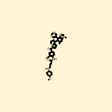 CO[C@H]1CC[C@H](NC/C=C/C(=O)Nc2ccc(C(=O)c3ccc4c(-c5c(C)cc6c(ncn6C)c5-c5cncnc5)cccn34)cc2C#N)CC1